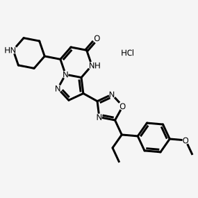 CCC(c1ccc(OC)cc1)c1nc(-c2cnn3c(C4CCNCC4)cc(=O)[nH]c23)no1.Cl